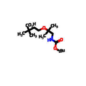 CC(C)(C)OC(=O)NCC(C)(C)OCCC(C)(C)C(=O)O